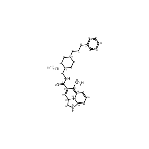 Cl.Cl.O=C(NCC1CCN(CCCc2ccccc2)CC1)C1=CC2CNC3=CC=CC(=C1S(=O)(=O)O)N32